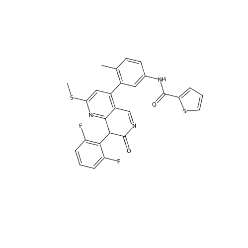 CSc1cc(-c2cc(NC(=O)c3cccs3)ccc2C)c2c(n1)C(c1c(F)cccc1F)C(=O)N=C2